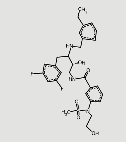 CCc1cccc(CNC(Cc2cc(F)cc(F)c2)[C@H](O)CNC(=O)c2cccc(N(CCO)S(C)(=O)=O)c2)c1